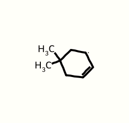 CC1(C)C[CH]C=CC1